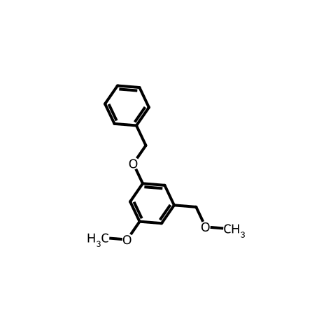 COCc1cc(OC)cc(OCc2ccccc2)c1